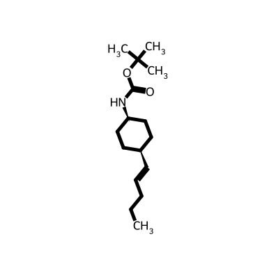 CCCC=C[C@H]1CC[C@@H](NC(=O)OC(C)(C)C)CC1